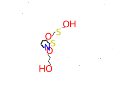 OCCCCOn1cccc(OCCSCCO)c1=S